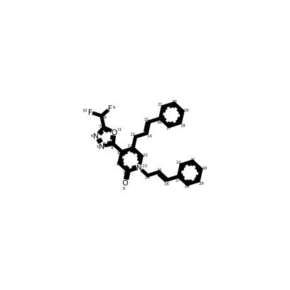 O=c1cc(-c2nnc(C(F)F)o2)c(C/C=C/c2ccccc2)cn1C/C=C/c1ccccc1